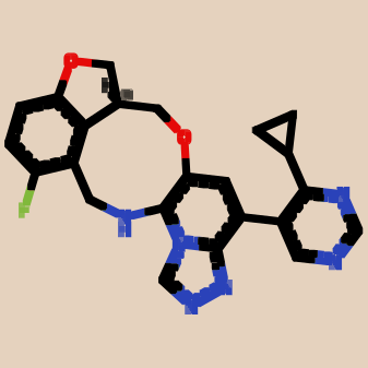 Fc1ccc2c3c1CNc1c(cc(-c4cncnc4C4CC4)c4nncn14)OC[C@H]3CO2